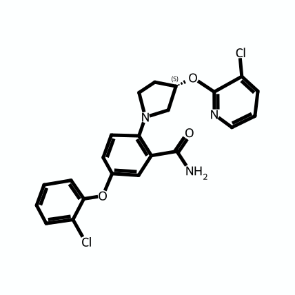 NC(=O)c1cc(Oc2ccccc2Cl)ccc1N1CC[C@H](Oc2ncccc2Cl)C1